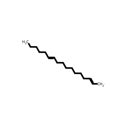 [CH2]/C=C/CCCCCCC/C=C/CCCCC